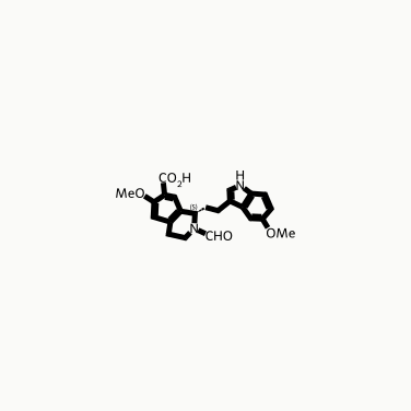 COc1ccc2[nH]cc(CC[C@H]3c4cc(C(=O)O)c(OC)cc4CCN3C=O)c2c1